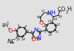 CC(C)Oc1ccc(-c2nc(-c3cccc4c3OCCNC4CC(=O)O)no2)cc1C#N